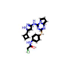 O=C(CCl)Nc1ccc(Sc2nc(Nc3cc(C4CCC4)[nH]n3)n3cccc3n2)cc1